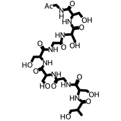 CC(=O)CNC(=O)C(CO)NC(=O)C(CO)NC(=O)CNC(=O)C(CO)NC(=O)C(CO)NC(=O)CNC(=O)C(CO)NC(=O)C(C)CO